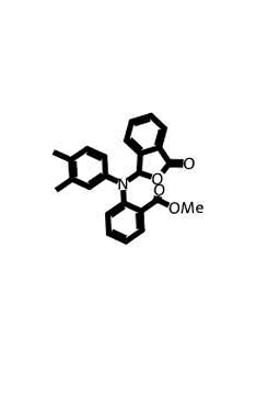 COC(=O)c1ccccc1N(c1ccc(C)c(C)c1)C1OC(=O)c2ccccc21